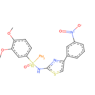 COc1ccc([SH](=O)(P)Nc2nc(-c3cccc([N+](=O)[O-])c3)cs2)cc1OC